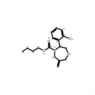 C=C1COCC(c2ccccc2Cl)N(C(=O)OCCCC)C1